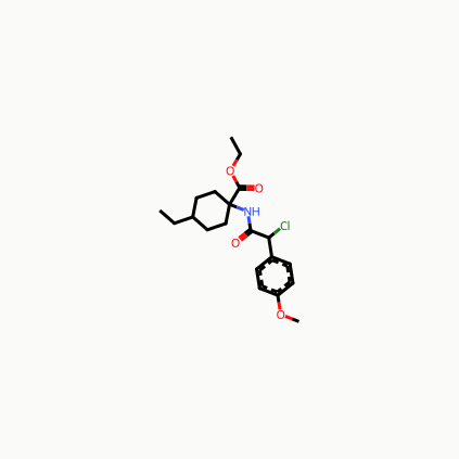 CCOC(=O)C1(NC(=O)C(Cl)c2ccc(OC)cc2)CCC(CC)CC1